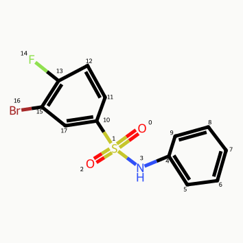 O=S(=O)(Nc1ccccc1)c1ccc(F)c(Br)c1